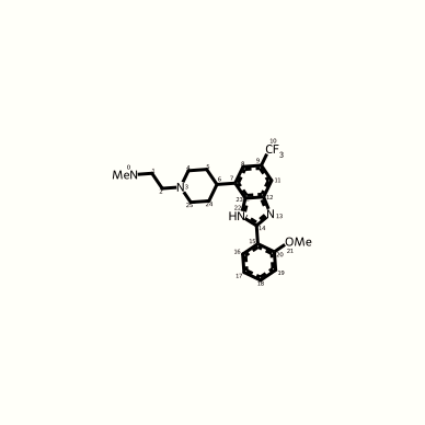 CNCCN1CCC(c2cc(C(F)(F)F)cc3nc(-c4ccccc4OC)[nH]c23)CC1